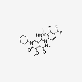 COc1c(=O)n(C2CCCCC2)cc2c(N[C@H](C)c3cccc(C(F)F)c3F)nn(C)c(=O)c12